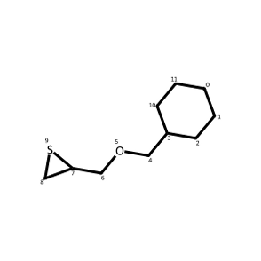 C1CCC(COCC2CS2)CC1